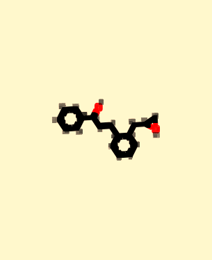 O=C(C=Cc1ccccc1CC1CO1)c1ccccc1